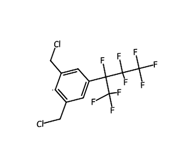 FC(F)(F)C(F)(F)C(F)(c1cc(CCl)[c]c(CCl)c1)C(F)(F)F